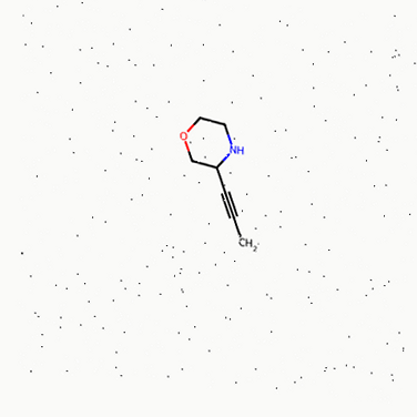 [CH2]C#CC1COCCN1